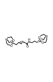 O=C(NCCC[Si]12OCCN(CCO1)CCO2)NCCC[Si]12OCCN(CCO1)CCO2